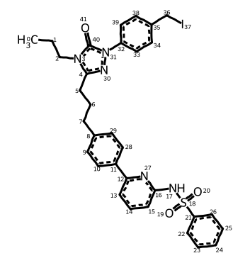 CCCn1c(CCCc2ccc(-c3cccc(NS(=O)(=O)c4ccccc4)n3)cc2)nn(-c2ccc(CI)cc2)c1=O